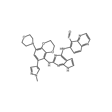 Cn1cc(-c2cc(N3CCOCC3)c3c(c2Nc2nc(Nc4ccc5nccnc5c4P=O)c4cc[nH]c4n2)OCCO3)cn1